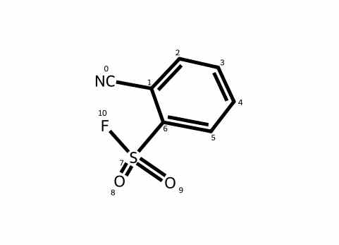 N#Cc1ccccc1S(=O)(=O)F